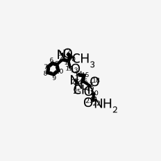 Cc1onc(-c2ccccc2)c1COc1cc(C(=O)OCC(N)=O)n(C)n1